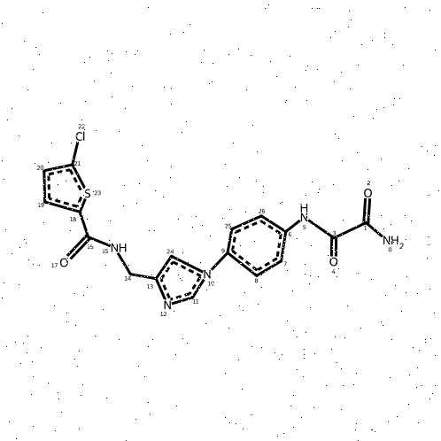 NC(=O)C(=O)Nc1ccc(-n2cnc(CNC(=O)c3ccc(Cl)s3)c2)cc1